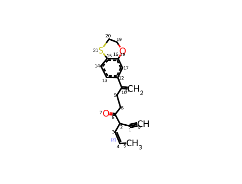 C#CC(/C=C\C)C(=O)CCC(=C)c1ccc2c(c1)OCCS2